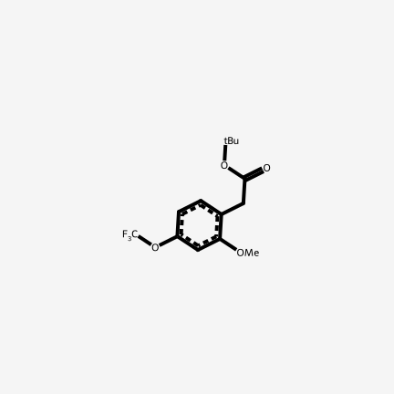 COc1cc(OC(F)(F)F)ccc1CC(=O)OC(C)(C)C